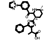 CC(C(=O)O)c1nc([C@@H]2CC[C@@H](C)NC2C(=O)c2cccc(-n3nccn3)c2)oc1-c1ccccc1